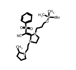 CC1CCCN1CCN1CCN(CCCO[Si](C)(C)C(C)(C)C)/C1=C(/C#N)S(=O)(=O)c1ccccc1